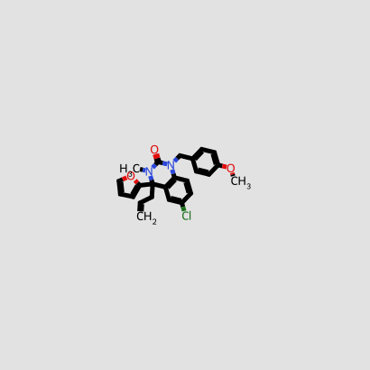 C=CCC1(c2ccco2)c2cc(Cl)ccc2N(Cc2ccc(OC)cc2)C(=O)N1C